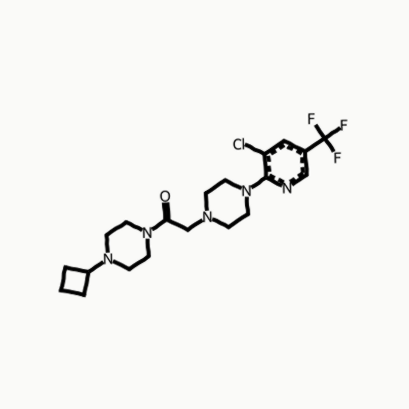 O=C(CN1CCN(c2ncc(C(F)(F)F)cc2Cl)CC1)N1CCN(C2CCC2)CC1